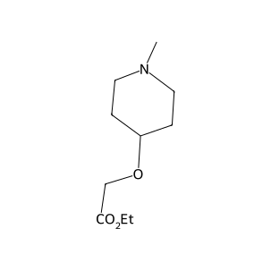 CCOC(=O)COC1CCN(C)CC1